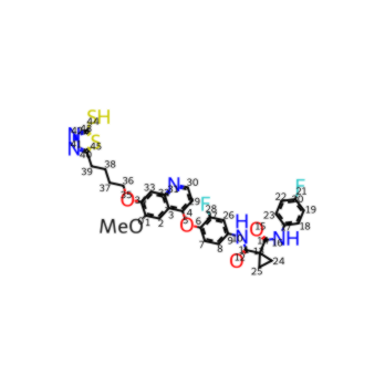 COc1cc2c(Oc3ccc(NC(=O)C4(C(=O)Nc5ccc(F)cc5)CC4)cc3F)ccnc2cc1OCCCCc1nnc(S)s1